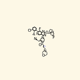 N#CC[C@H]1CN(c2nc(OC[C@@]34CCCN3C[C@H](F)C4)nc3c(F)c(-c4cccc(Cl)c4C4CC4)ncc23)CCN1C(=O)/C=C/CN1CCCOCC1